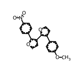 COc1ccc(-c2ccoc2-c2c[c]oc2-c2ccc([N+](=O)[O-])cc2)cc1